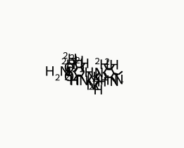 [2H]c1nc(Nc2c([2H])c([2H])c(C([2H])([2H])[2H])c(S(N)(=O)=O)c2[2H])nc(N(C)c2c([2H])c([2H])c3c(C)n(C)nc3c2[2H])c1[2H]